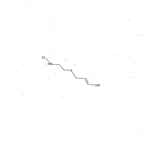 CCCC=CCSCCNCC